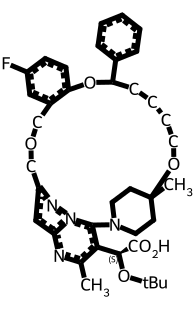 Cc1nc2cc3nn2c(c1[C@H](OC(C)(C)C)C(=O)O)N1CCC(C)(CC1)OCCCCC(c1ccccc1)Oc1ccc(F)cc1COC3